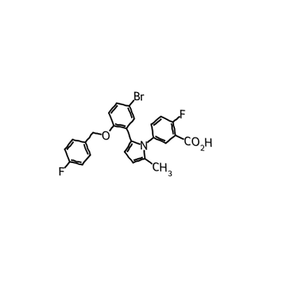 Cc1ccc(-c2cc(Br)ccc2OCc2ccc(F)cc2)n1-c1ccc(F)c(C(=O)O)c1